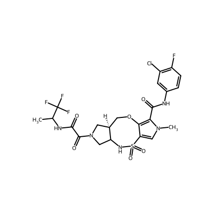 CC(NC(=O)C(=O)N1CC2NS(=O)(=O)c3cn(C)c(C(=O)Nc4ccc(F)c(Cl)c4)c3OC[C@@H]2C1)C(F)(F)F